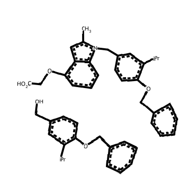 CC(C)c1cc(CO)ccc1OCc1ccccc1.Cc1cc2c(OCC(=O)O)cccc2n1Cc1ccc(OCc2ccccc2)c(C(C)C)c1